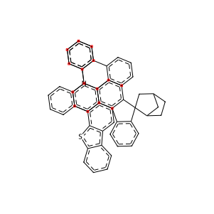 c1ccc(-c2ccccc2-c2ccccc2-c2ccccc2N(c2ccc3c(c2)-c2ccccc2C32CC3CCC2C3)c2ccccc2-c2cccc3c2sc2ccccc23)cc1